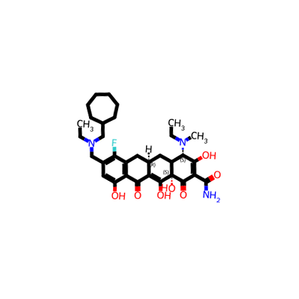 CCN(Cc1cc(O)c2c(c1F)C[C@H]1CC3[C@H](N(C)CC)C(O)=C(C(N)=O)C(=O)[C@@]3(O)C(O)=C1C2=O)CC1CCCCCC1